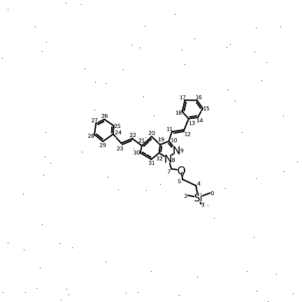 C[Si](C)(C)CCOCn1nc(/C=C/c2ccccc2)c2cc(/C=C/c3ccccc3)ccc21